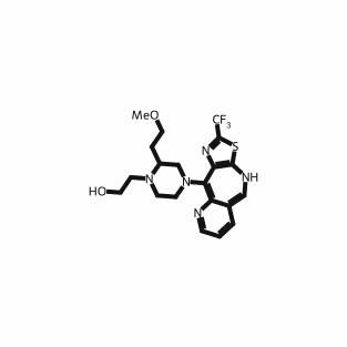 COCCC1CN(C2=c3ncccc3=CNc3sc(C(F)(F)F)nc32)CCN1CCO